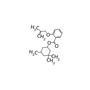 C=C(C)COc1ccccc1C(=O)OC1CC(C)CC(C)(C)C1